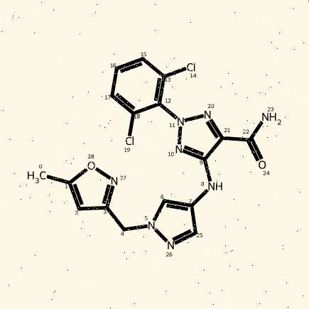 Cc1cc(Cn2cc(Nc3nn(-c4c(Cl)cccc4Cl)nc3C(N)=O)cn2)no1